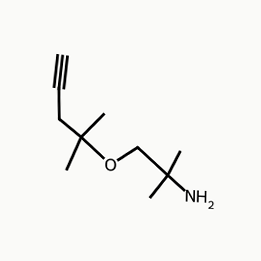 C#CCC(C)(C)OCC(C)(C)N